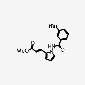 COC(=O)C=Cc1cccn1NC(=O)c1cccc(C(C)(C)C)c1